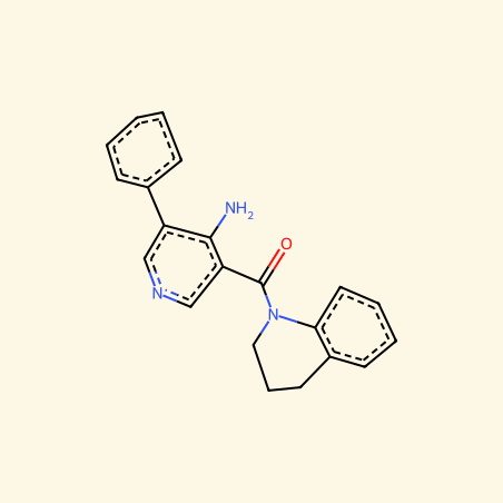 Nc1c(C(=O)N2CCCc3ccccc32)cncc1-c1ccccc1